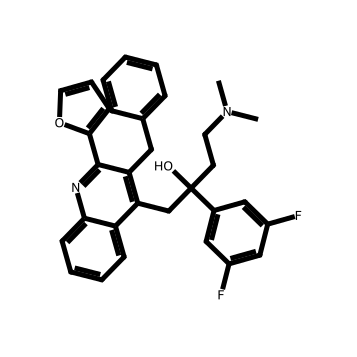 CN(C)CCC(O)(Cc1c(Cc2ccccc2)c(-c2ccco2)nc2ccccc12)c1cc(F)cc(F)c1